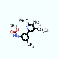 CCOC(=O)c1cc(-c2cc(NC(=O)OC(C)(C)C)cc(C(F)(F)F)c2)nc(OC)c1[N+](=O)[O-]